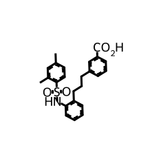 Cc1ccc(S(=O)(=O)Nc2ccccc2CCCc2cccc(C(=O)O)c2)c(C)c1